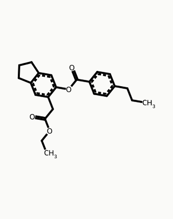 CCCc1ccc(C(=O)Oc2cc3c(cc2CC(=O)OCC)CCC3)cc1